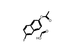 CC(=O)Oc1ccc2cc(F)ccc2c1.O=CO